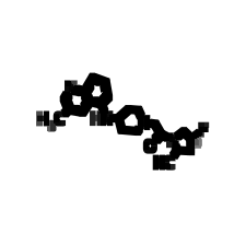 Cc1cnc2cccc(NC3CCN(CC(=O)N4C[C@@H](F)CC4C#N)CC3)c2c1